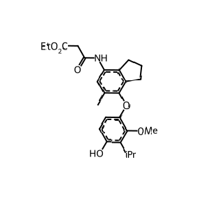 CCOC(=O)CC(=O)Nc1cc(C)c(Oc2ccc(O)c(C(C)C)c2OC)c2c1CCC2